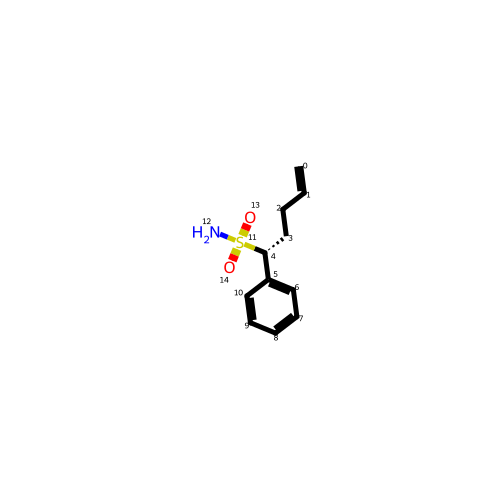 C=CCC[C@H](c1ccccc1)S(N)(=O)=O